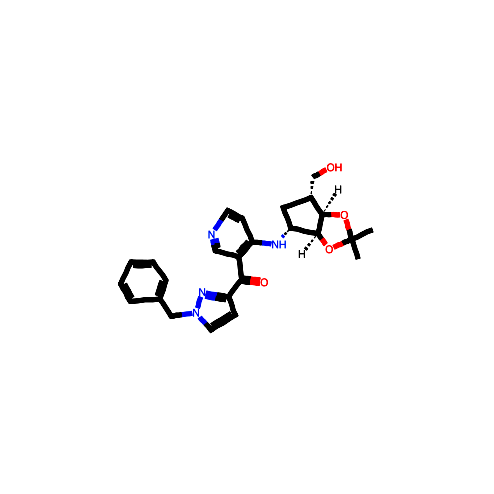 CC1(C)O[C@@H]2[C@@H](CO)C[C@@H](Nc3ccncc3C(=O)c3ccn(Cc4ccccc4)n3)[C@@H]2O1